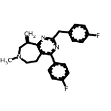 C=C1CN(C)CCc2c1nc(Cc1ccc(F)cc1)nc2-c1ccc(F)cc1